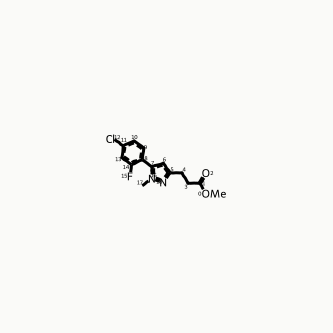 COC(=O)CCc1cc(-c2ccc(Cl)cc2F)n(C)n1